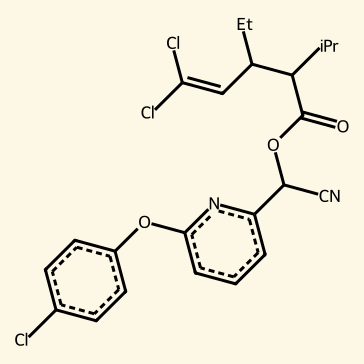 CCC(C=C(Cl)Cl)C(C(=O)OC(C#N)c1cccc(Oc2ccc(Cl)cc2)n1)C(C)C